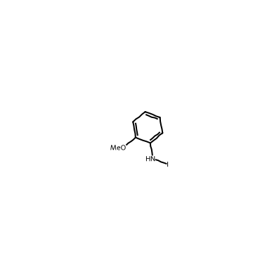 COc1ccccc1NI